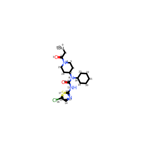 CC(C)(C)CC(=O)N1CCC(N(C(=O)Nc2ncc(Cl)s2)C2CCCCC2)CC1